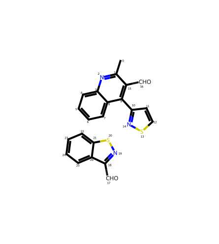 Cc1nc2ccccc2c(-c2ccsn2)c1C=O.O=Cc1nsc2ccccc12